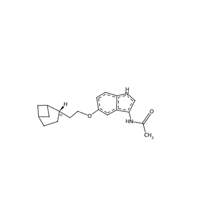 CC(=O)Nc1c[nH]c2ccc(OCC[C@@H]3CCC4CC3C4)cc12